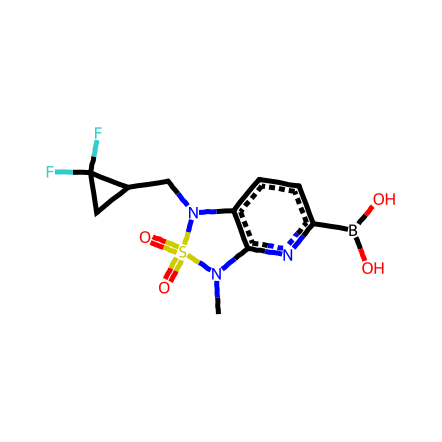 CN1c2nc(B(O)O)ccc2N(CC2CC2(F)F)S1(=O)=O